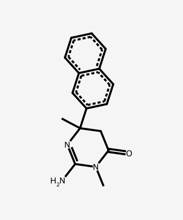 CN1C(=O)CC(C)(c2ccc3ccccc3c2)N=C1N